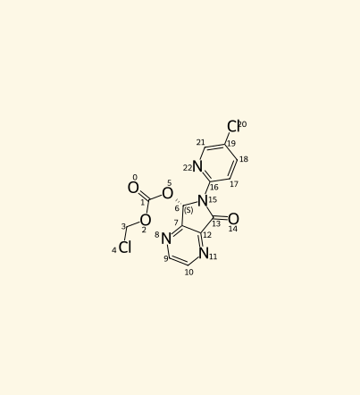 O=C(OCCl)O[C@H]1c2nccnc2C(=O)N1c1ccc(Cl)cn1